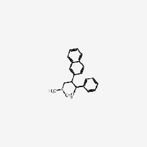 CN(C)CC(c1ccc2ccccc2c1)[C@H](Cl)c1ccccc1